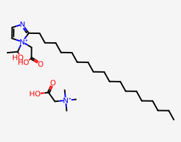 CCCCCCCCCCCCCCCCCCC1=NC=C[N+]1(CC(=O)O)C(C)O.C[N+](C)(C)CC(=O)O